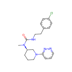 CN(C(=O)NCCc1ccc(Cl)cc1)[C@@H]1CCCN(c2cccnn2)C1